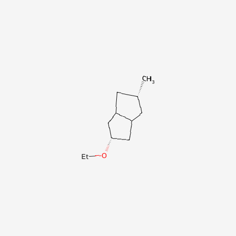 CCO[C@H]1CC2C[C@@H](C)CC2C1